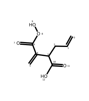 C=CCC(C(=C)C(=O)OO)C(=O)O